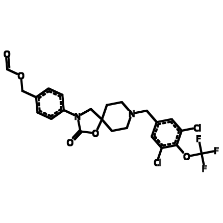 O=COCc1ccc(N2CC3(CCN(Cc4cc(Cl)c(OC(F)(F)F)c(Cl)c4)CC3)OC2=O)cc1